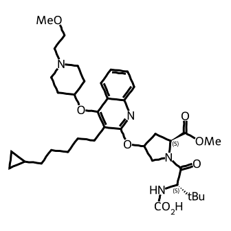 COCCN1CCC(Oc2c(CCCCCC3CC3)c(OC3C[C@@H](C(=O)OC)N(C(=O)[C@@H](NC(=O)O)C(C)(C)C)C3)nc3ccccc23)CC1